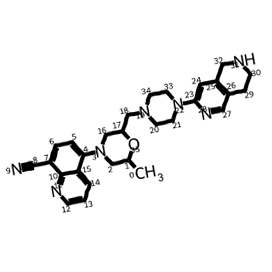 CC1CN(c2ccc(C#N)c3ncccc23)CC(CN2CCN(c3cc4c(cn3)CCNC4)CC2)O1